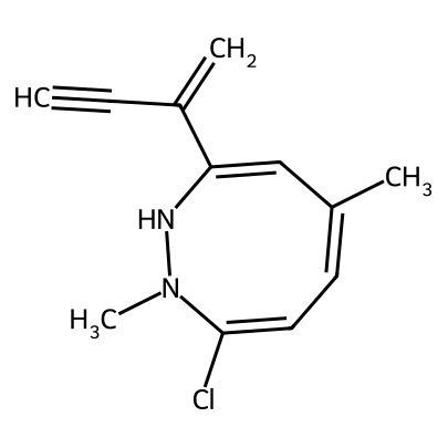 C#CC(=C)c1cc(C)ccc(Cl)n(C)[nH]1